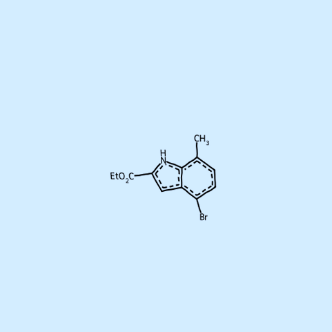 CCOC(=O)c1cc2c(Br)ccc(C)c2[nH]1